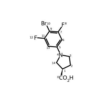 O=C(O)[C@@H]1CCN(c2cc(F)c(Br)c(F)c2)C1